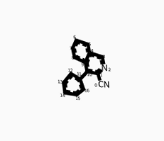 N#Cc1ncc2ccccc2c1-c1ccccc1